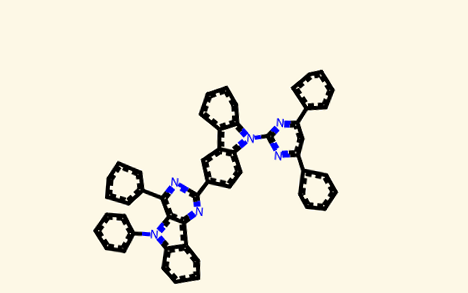 c1ccc(-c2cc(-c3ccccc3)nc(-n3c4ccccc4c4cc(-c5nc(-c6ccccc6)c6c(n5)c5ccccc5n6-c5ccccc5)ccc43)n2)cc1